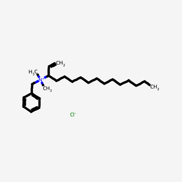 C=CC(CCCCCCCCCCCCC)[N+](C)(C)Cc1ccccc1.[Cl-]